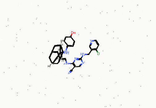 N#Cc1cnc(NCc2cnccc2Cl)nc1NC[C@]12CC3C[C@H](C1)[C@@H](NC1CCC(O)CC1)[C@@H](C3)C2